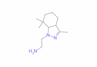 CC1=NN(CCN)C2C1CCCC2(C)C